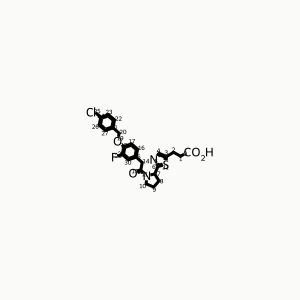 O=C(O)CCc1cnc(C2CCCN2C(=O)Cc2ccc(OCc3ccc(Cl)cc3)c(F)c2)s1